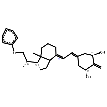 C=C1[C@H](O)CC(=C/C=C2\CCCC3(C)C2CC[C@@H]3[C@H](C)COc2ccccc2)C[C@H]1O